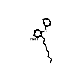 CCCCCCCCc1ccccc1Oc1ccccc1.[NaH]